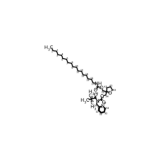 CCCCCCCCCCCCCCCCCCNC(=O)OCC1(COC(=O)N(Cc2ccccn2)C(=O)C(C)(C)C)CCCO1